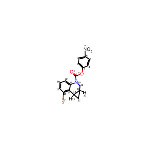 O=C(Oc1ccc([N+](=O)[O-])cc1)N1C[C@@H]2C[C@@H]2c2c(Br)cccc21